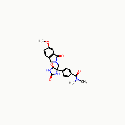 COc1ccc2c(c1)C(=O)N(CC1(c3ccc(C(=O)N(C)C)cc3)NC(=O)NC1=O)C2